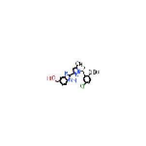 Cc1cc(-c2nc3cc(CO)ccc3[nH]2)nn1Cc1cc(Cl)ccc1OCC(C)C